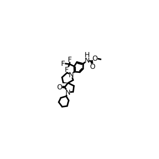 COC(=O)Nc1ccc(N2CCC[C@]3(CCN(C4CCCCC4)C3=O)C2)c(C(F)(F)F)c1